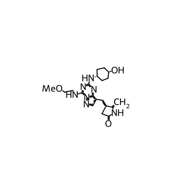 C=C1NC(=O)C/C1=C\c1cnn2c(NCCOC)nc(N[C@H]3CC[C@H](O)CC3)nc12